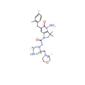 Cc1cc(F)ccc1Cc1cc2c(n(N)c1=O)C(C)(C)CN2C(=O)CN1C[C@@H](C)NC[C@@H]1CN1CCOC[C@H]1C